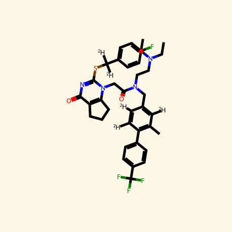 [2H]c1c([2H])c(-c2ccc(C(F)(F)F)cc2)c(C)c([2H])c1CN(CCN(CC)CC)C(=O)Cn1c(SC([2H])([2H])c2ccc(F)cc2)nc(=O)c2c1CCC2